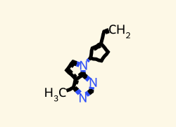 C=CC1=CC(n2ccc3c(C)ncnc32)CC1